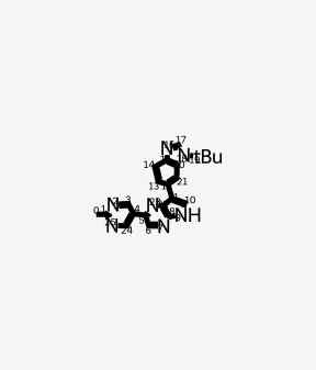 Cc1ncc(-c2cnc3[nH]cc(-c4ccc5ncn(C(C)(C)C)c5c4)c3n2)cn1